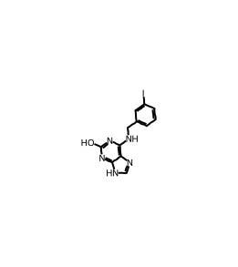 Oc1nc(NCc2cccc(I)c2)c2nc[nH]c2n1